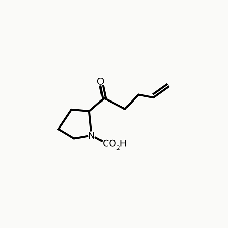 C=CCCC(=O)C1CCCN1C(=O)O